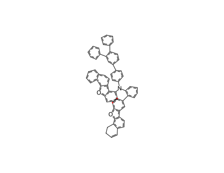 C1=Cc2ccc3c(oc4ccc(-c5ccccc5N(c5ccc(-c6ccc(-c7ccccc7)c(-c7ccccc7)c6)cc5)c5cccc6oc7c8ccccc8ccc7c56)cc43)c2CC1